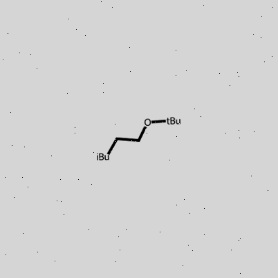 CCC(C)CCOC(C)(C)C